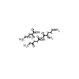 COC(=O)CCC(=O)O.CSCCC(N)C(=O)O.NCCCC(N)C(=O)O